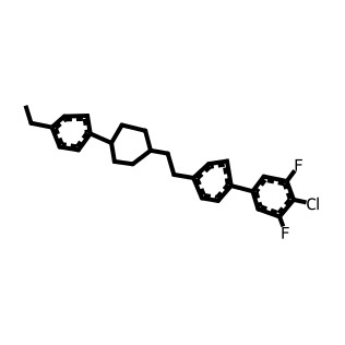 CCc1ccc(C2CCC(CCc3ccc(-c4cc(F)c(Cl)c(F)c4)cc3)CC2)cc1